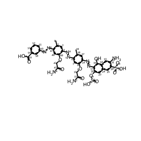 Cc1cc(N=Nc2cc(OCC(N)=O)c(N=Nc3c(OS(=O)O)cc4cc(S(=O)(=O)O)c(N)cc4c3O)cc2C)c(OCC(N)=O)cc1N=Nc1cccc(C(=O)O)c1